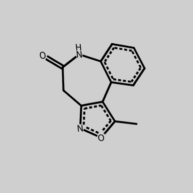 Cc1onc2c1-c1ccccc1NC(=O)C2